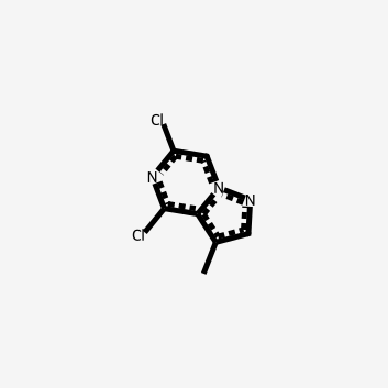 Cc1cnn2cc(Cl)nc(Cl)c12